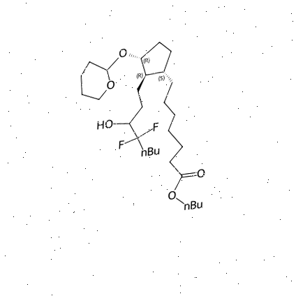 CCCCOC(=O)CCCCCC[C@H]1CC[C@@H](OC2CCCCO2)[C@@H]1CCC(O)C(F)(F)CCCC